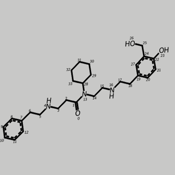 O=C(CCNCCc1ccccc1)N(CCNCCc1ccc(O)c(CO)c1)C1CCCCC1